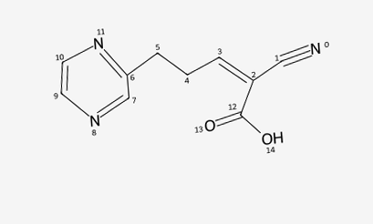 N#CC(=CCCc1cnccn1)C(=O)O